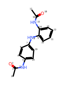 CC(=O)Nc1ccc(Nc2cc[c]cc2NC(C)=O)cc1